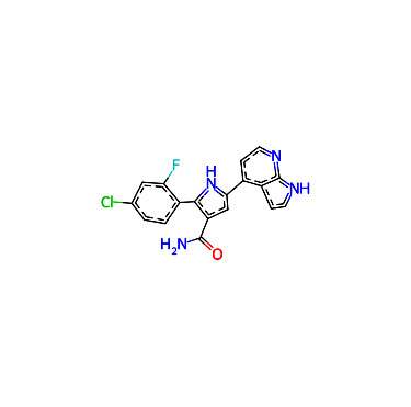 NC(=O)c1cc(-c2ccnc3[nH]ccc23)[nH]c1-c1ccc(Cl)cc1F